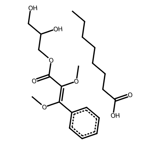 CCCCCCCC(=O)O.COC(C(=O)OCC(O)CO)=C(OC)c1ccccc1